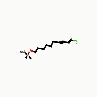 CC(C)(C)[Si](C)(C)OCCCCCCC#CC=CCl